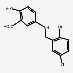 CC(=O)Oc1ccc(NCc2cc(Cl)ccc2O)cc1C(=O)O